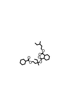 CCC(C)CCOC(=O)C1CCCCC1C(=O)OC(C)(CC)CCOC(=O)C1CCCCC1